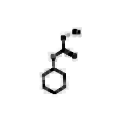 C[CH][C@@H](C)OC(=O)OC1CCCCC1